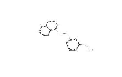 BrCc1cccc(COc2cccc3ccccc23)c1